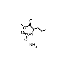 CCCC(N=S(=O)=O)C(=O)OC.N